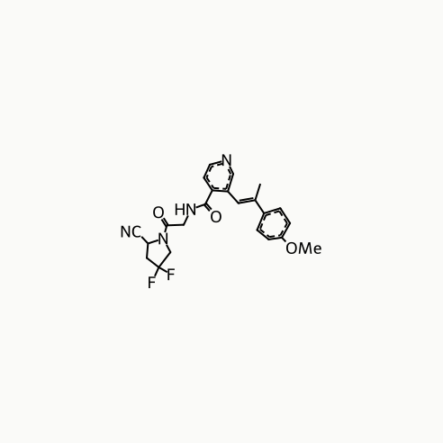 COc1ccc(/C(C)=C/c2cnccc2C(=O)NCC(=O)N2CC(F)(F)CC2C#N)cc1